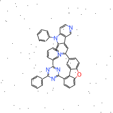 c1ccc(-c2nc(-c3ccccc3)nc(-c3cccc4oc5ccc(-c6cc7c8cnccc8n(-c8ccccc8)c7cn6)cc5c34)n2)cc1